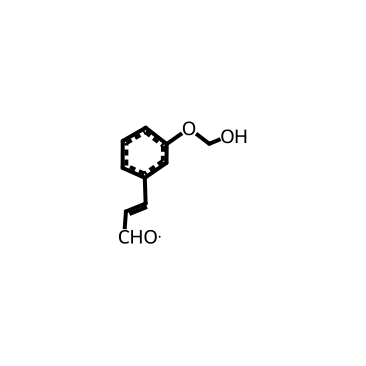 O=[C]C=Cc1cccc(OCO)c1